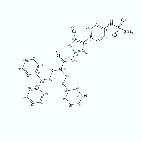 CS(=O)(=O)Nc1ccc(-c2nc(NC(=O)N(CCC3CCCNC3)CCC(c3ccccc3)c3ccccc3)sc2Cl)cc1